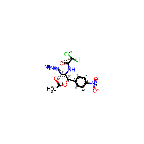 CC(=O)O[C@H](c1ccc([N+](=O)[O-])cc1)[C@@H](CN=[N+]=[N-])NC(=O)C(Cl)Cl